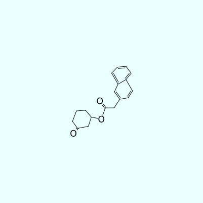 O=C1CCCC(OC(=O)Cc2ccc3ccccc3c2)C1